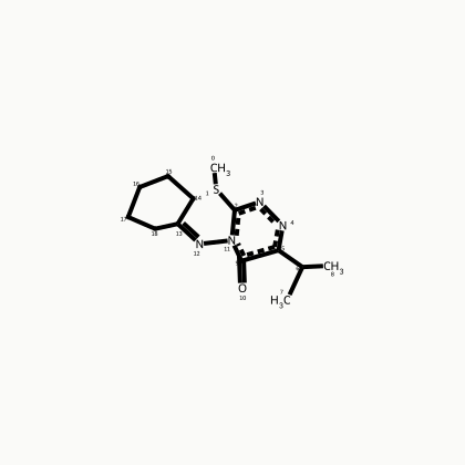 CSc1nnc(C(C)C)c(=O)n1N=C1CCCCC1